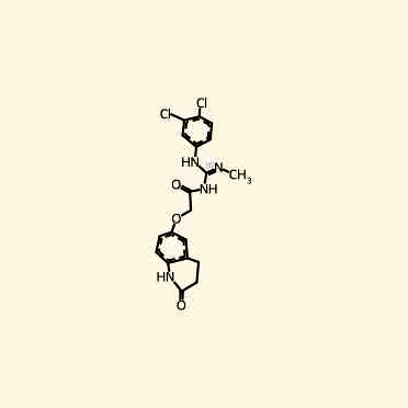 C/N=C(\NC(=O)COc1ccc2c(c1)CCC(=O)N2)Nc1ccc(Cl)c(Cl)c1